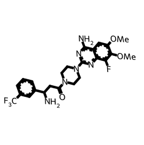 COc1cc2c(N)nc(N3CCN(C(=O)CC(N)c4cccc(C(F)(F)F)c4)CC3)nc2c(F)c1OC